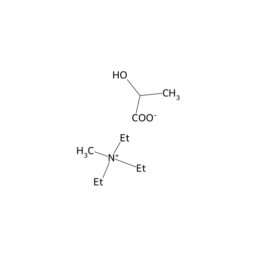 CC(O)C(=O)[O-].CC[N+](C)(CC)CC